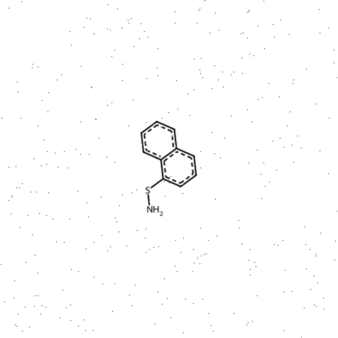 NSc1cccc2ccccc12